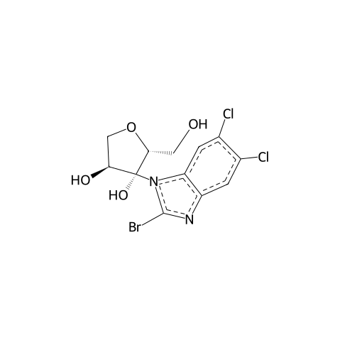 OC[C@H]1OC[C@H](O)[C@]1(O)n1c(Br)nc2cc(Cl)c(Cl)cc21